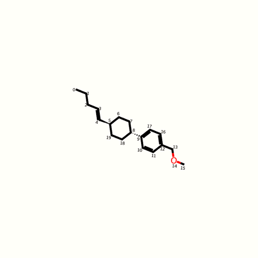 CCC/C=C/[C@H]1CC[C@H](c2ccc(COC)cc2)CC1